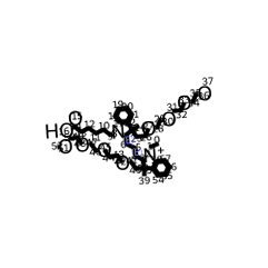 CC[N+]1=C(/C=C/C=C2/N(CCCCCC(=O)O)c3ccccc3C2(C)CCOCCOCCOCCOC)C(C)(CCOCCOCCOCCOC)c2ccccc21